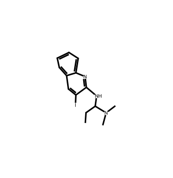 CCC(Nc1nc2ccccc2cc1I)N(C)C